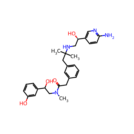 CN(CC(O)c1cccc(O)c1)C(=O)Cc1cccc(CC(C)(C)NC[C@@H](O)c2ccc(N)nc2)c1